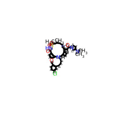 CO[C@@]1(CC(=O)N2CC[C@@H](N(C)C)C2)/C=C/C[C@H](C)[C@@H](C)S(=O)(=O)NC(=O)c2ccc3c(c2)N(CCCCc2cc(Cl)ccc2CO3)C[C@@H]2CC[C@H]21